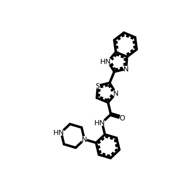 O=C(Nc1ccccc1N1CCNCC1)c1csc(-c2nc3ccccc3[nH]2)n1